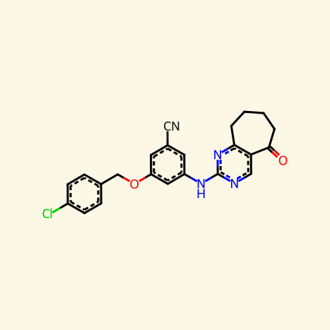 N#Cc1cc(Nc2ncc3c(n2)CCCCC3=O)cc(OCc2ccc(Cl)cc2)c1